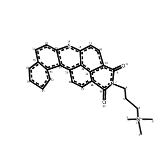 C[N+](C)(C)CCCn1c(=O)c2ccc3sc4ccc5ccccc5c4c4ccc(c1=O)c2c34